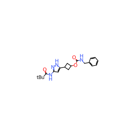 CC(C)(C)C(=O)Nc1cc(C2CC(OC(=O)NCc3ccccc3)C2)[nH]n1